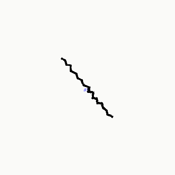 CCCCCCCCC/C=C/CCCCCCCCC